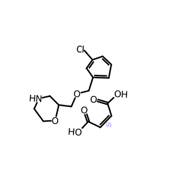 Clc1cccc(COCC2CNCCO2)c1.O=C(O)/C=C\C(=O)O